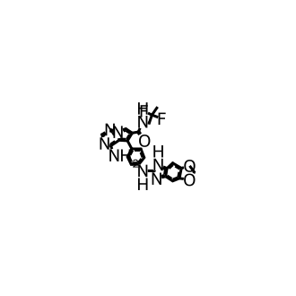 CC(F)(F)CNC(=O)c1cn2ncnc(N)c2c1-c1ccc(Nc2nc3cc4c(cc3[nH]2)OCO4)cc1